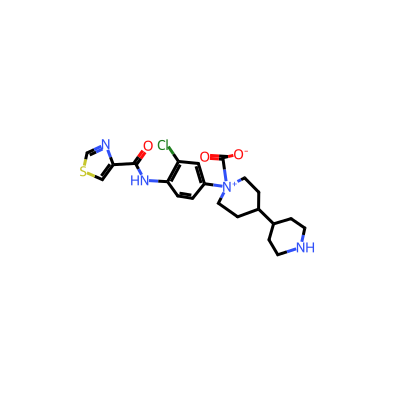 O=C(Nc1ccc([N+]2(C(=O)[O-])CCC(C3CCNCC3)CC2)cc1Cl)c1cscn1